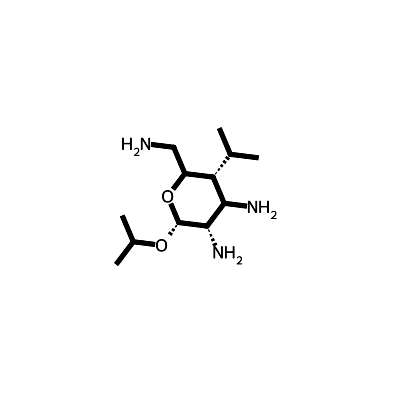 CC(C)O[C@@H]1OC(CN)[C@H](C(C)C)C(N)[C@@H]1N